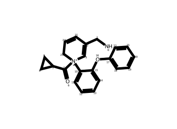 NCC1=C[N+](C(=O)C2CC2)(c2ccccc2Oc2ccccc2)CC=C1